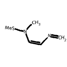 C=N/C=C\N(C)SC